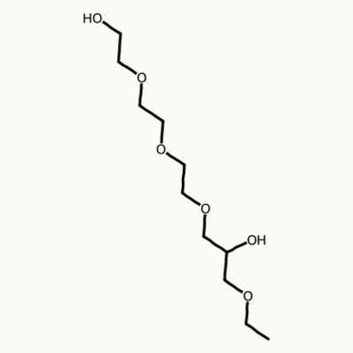 CCOCC(O)COCCOCCOCCO